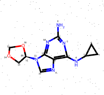 Nc1nc(NC2CC2)c2ncn([C@H]3CO[CH]O3)c2n1